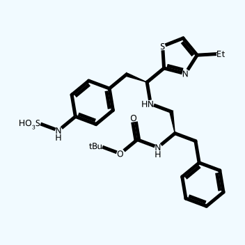 CCc1csc([C@H](Cc2ccc(NS(=O)(=O)O)cc2)NC[C@@H](Cc2ccccc2)NC(=O)OC(C)(C)C)n1